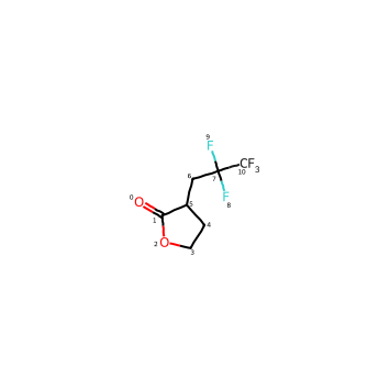 O=C1OCCC1CC(F)(F)C(F)(F)F